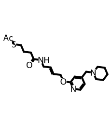 CC(=O)SCCCC(=O)NCC=CCOc1cc(CN2CCCCC2)ccn1